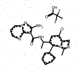 Cc1ncc2c(Cl)cc(C(C)NC(=O)c3c(N)nn4cccnc34)c(-c3ccccc3)n12.O=C(O)C(F)(F)F